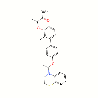 COC(=O)C(C)Oc1cccc(-c2ccc(OC(C)N3CCSc4ccccc43)cc2)c1C